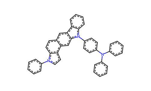 c1ccc(N(c2ccccc2)c2ccc(-n3c4ccccc4c4cc5ccc6c(ccn6-c6ccccc6)c5cc43)cc2)cc1